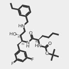 CCCC[C@@H](NC(=O)OC(C)(C)C)C(=O)N[C@@H](Cc1cc(F)cc(F)c1)[C@H](O)CNCc1cccc(CC)c1